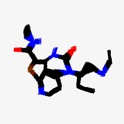 C=C/C(=C\N=C/C)N1C(=O)Nc2c(C(=O)NC)sc3nccc1c23